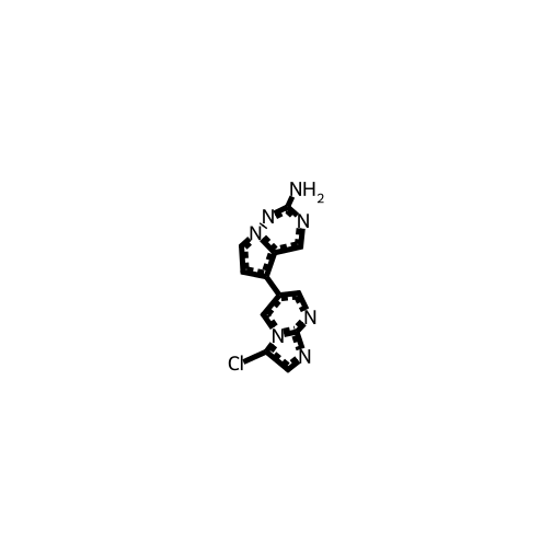 Nc1ncc2c(-c3cnc4ncc(Cl)n4c3)ccn2n1